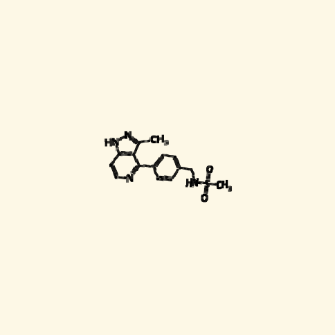 Cc1n[nH]c2ccnc(-c3ccc(CNS(C)(=O)=O)cc3)c12